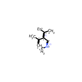 C=C(C)C(/C=N\C)=C(/C)CC